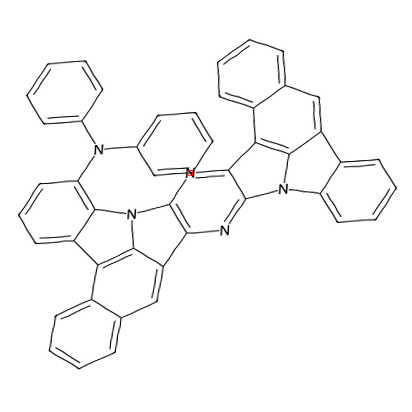 c1ccc(N(c2ccccc2)c2cccc3c4c5ccccc5cc5c6nc7c(nc6n(c23)c54)c2c3ccccc3cc3c4ccccc4n7c32)cc1